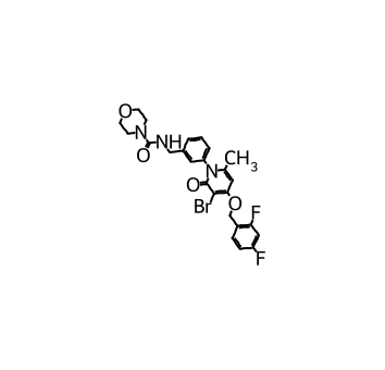 Cc1cc(OCc2ccc(F)cc2F)c(Br)c(=O)n1-c1cccc(CNC(=O)N2CCOCC2)c1